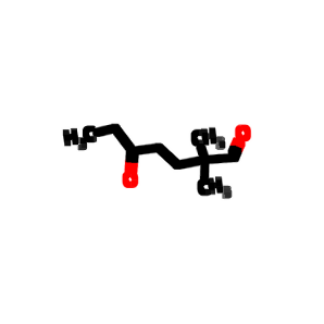 CCC(=O)CCC(C)(C)C=O